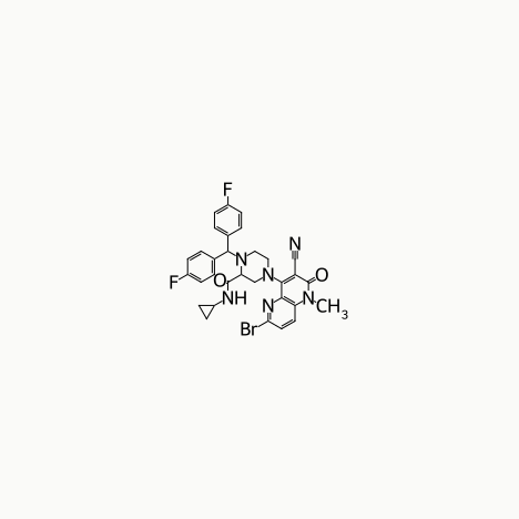 Cn1c(=O)c(C#N)c(N2CCN(C(c3ccc(F)cc3)c3ccc(F)cc3)C(C(=O)NC3CC3)C2)c2nc(Br)ccc21